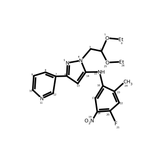 CCOC(Cn1nc(-c2cccnc2)cc1Nc1cc([N+](=O)[O-])c(F)cc1C)OCC